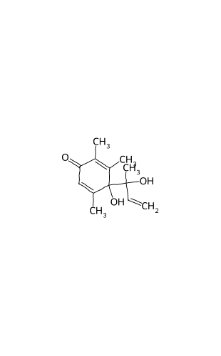 C=CC(C)(O)C1(O)C(C)=CC(=O)C(C)=C1C